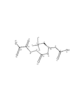 C[N+](C)(C)C[C@@H](CC(=O)O)OC(=O)CCC(=O)C(=O)[O-]